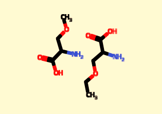 CCOCC(N)C(=O)O.COCC(N)C(=O)O